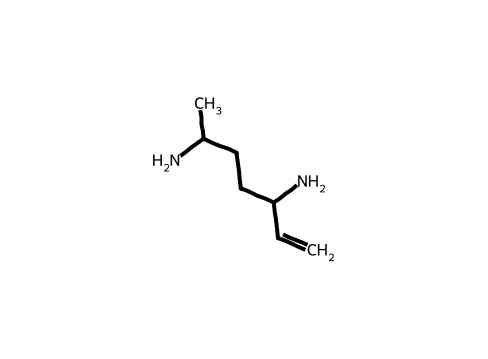 C=CC(N)CCC(C)N